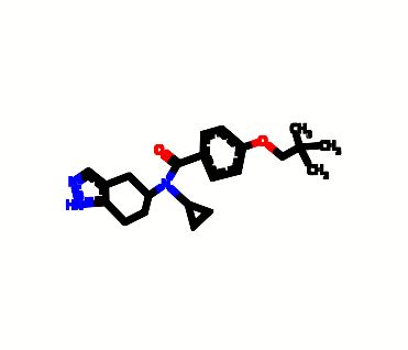 CC(C)(C)COc1ccc(C(=O)N(C2CC2)C2CCc3[nH]ncc3C2)cc1